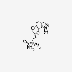 NC(=O)[C@@H](N)C[CH][C@H]1COc2ccc3cn[nH]c3c2O1